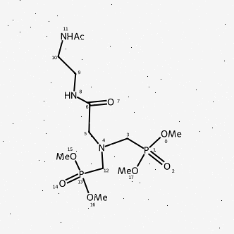 COP(=O)(CN(CC(=O)NCCNC(C)=O)CP(=O)(OC)OC)OC